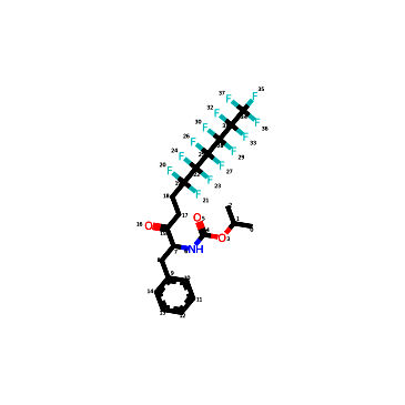 CC(C)OC(=O)NC(Cc1ccccc1)C(=O)CCC(F)(F)C(F)(F)C(F)(F)C(F)(F)C(F)(F)C(F)(F)F